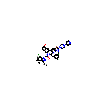 O=C(Cn1nc(C(F)(F)F)c2c1C(F)(F)[C@@H]1C[C@H]21)N[C@H](Cc1cc(F)cc(F)c1)c1nc2nc(N3CCN(c4ccncc4)CC3)sc2cc1-c1ccc2c(c1)C(=O)CC2